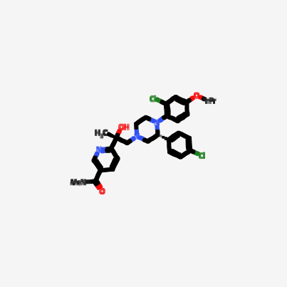 CCCOc1ccc(N2CCN(C[C@@](C)(O)c3ccc(C(=O)NC)cn3)C[C@H]2c2ccc(Cl)cc2)c(Cl)c1